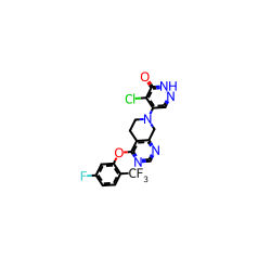 O=c1[nH]ncc(N2CCc3c(ncnc3Oc3cc(F)ccc3C(F)(F)F)C2)c1Cl